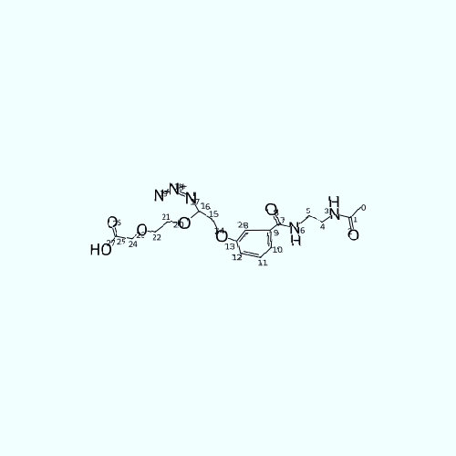 CC(=O)NCCNC(=O)c1cccc(OCC(N=[N+]=[N-])OCCOCC(=O)O)c1